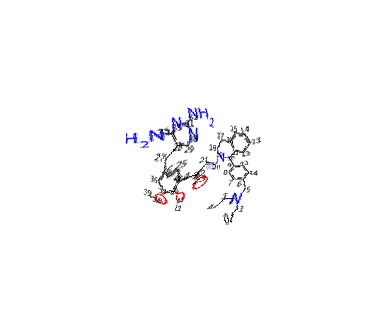 CCN(CC)Cc1ccc(C2c3ccccc3CCN2/C=C/C(=O)c2cc(Cc3cnc(N)nc3N)cc(OC)c2OC)cc1